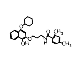 Cc1ccc(C(=O)NCCCOc2cc(OC3CCCCC3)c3ccccc3c2O)c(C)c1